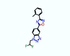 Cc1ccccc1-c1noc(-c2ccc3c(c2)nnn3CC(F)F)n1